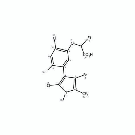 CCC(Oc1cc(-c2c(Br)c(C(F)(F)F)n(C)c2Cl)c(F)cc1Cl)C(=O)O